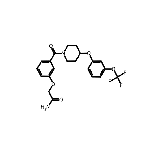 NC(=O)COc1cccc(C(=O)N2CCC(Oc3cccc(OC(F)(F)F)c3)CC2)c1